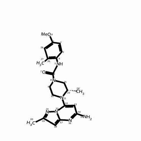 COc1ccc(NC(=O)N2CCN(c3cc(N)nc4cc(C)nn34)[C@@H](C)C2)c(C)c1